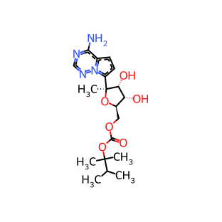 CC(C)C(C)(C)OC(=O)OC[C@H]1O[C@@](C)(c2ccc3c(N)ncnn23)[C@H](O)[C@@H]1O